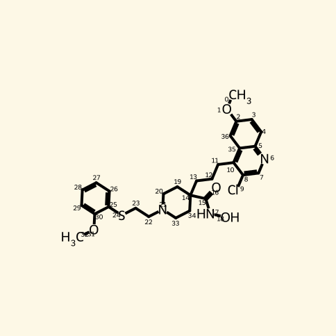 COc1ccc2ncc(Cl)c(CCCC3(C(=O)NO)CCN(CCSc4ccccc4OC)CC3)c2c1